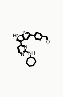 O=Cc1ccc(-c2cnc3[nH]cc(-c4ccnc(NC5CCCCCC5)n4)c3c2)cc1